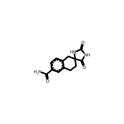 NC(=O)c1ccc2c(c1)CCC1(C2)NC(=O)NC1=O